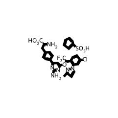 Cc1ccn(-c2cc(Cl)ccc2C(Oc2cc(-c3ccc(C[C@H](N)C(=O)O)cc3)nc(N)n2)C(F)(F)F)n1.O=S(=O)(O)c1ccccc1